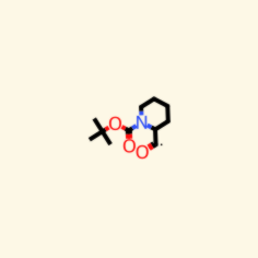 CC(C)(C)OC(=O)N1CCCCC1[C]=O